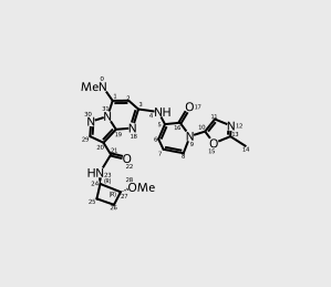 CNc1cc(Nc2cccn(-c3cnc(C)o3)c2=O)nc2c(C(=O)N[C@@H]3CC[C@H]3OC)cnn12